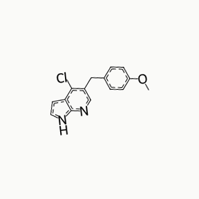 COc1ccc(Cc2cnc3[nH]ccc3c2Cl)cc1